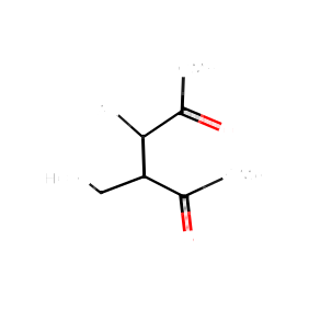 COC(=O)C(CC(=O)O)C(C(C)=O)C(=O)OC